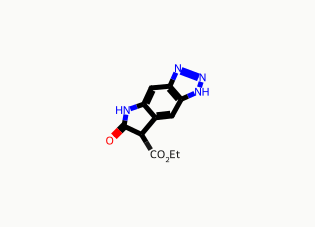 CCOC(=O)C1C(=O)Nc2cc3nn[nH]c3cc21